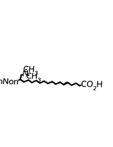 CCCCCCCCCC(CCCCCCCCCCC=CCCCC(=O)O)CN(C)C